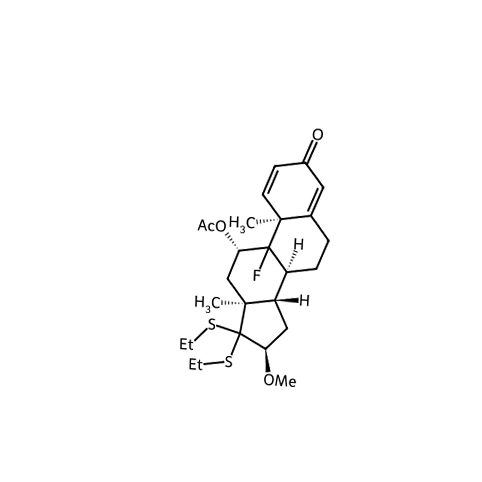 CCSC1(SCC)[C@H](OC)C[C@H]2[C@@H]3CCC4=CC(=O)C=C[C@]4(C)C3(F)[C@@H](OC(C)=O)C[C@@]21C